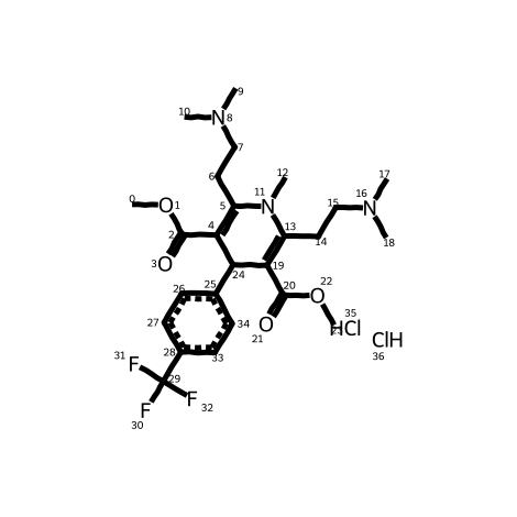 COC(=O)C1=C(CCN(C)C)N(C)C(CCN(C)C)=C(C(=O)OC)C1c1ccc(C(F)(F)F)cc1.Cl.Cl